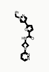 CC(C)Cn1cc(-c2ccc(C(=O)NC3CN(c4cccnn4)C3)o2)cn1